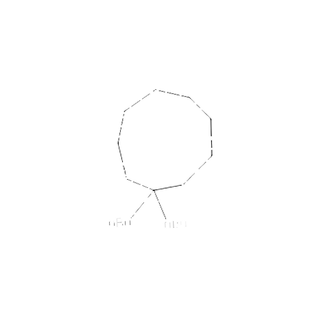 CCCCC1(CCCC)CCCCCCCC1